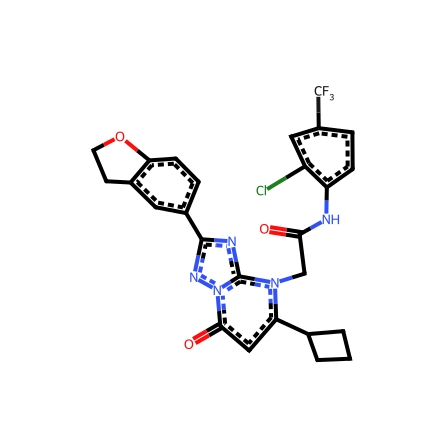 O=C(Cn1c(C2CCC2)cc(=O)n2nc(-c3ccc4c(c3)CCO4)nc12)Nc1ccc(C(F)(F)F)cc1Cl